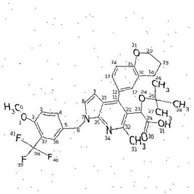 COc1ccc(Cn2ccc3c(-c4ccc5c(c4)CCCO5)c(C(OC(C)(C)C)C(=O)O)c(C)nc32)cc1C(F)(F)F